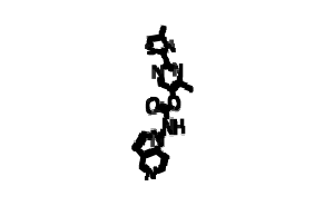 Cc1csc(-c2ncc(OC(=O)Nn3ccc4cnccc43)c(C)n2)n1